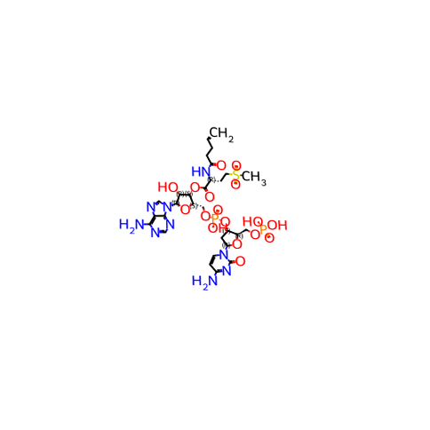 C=CCCC(=O)N[C@H](CCS(C)(=O)=O)C(=O)O[C@H]1[C@@H](O)[C@H](n2cnc3c(N)ncnc32)O[C@H]1COP(=O)(O)O[C@H]1C[C@H](n2ccc(N)nc2=O)O[C@@H]1COP(=O)(O)O